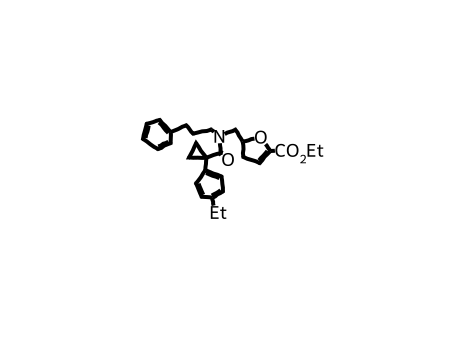 CCOC(=O)C1=CCC(CN(CCCc2ccccc2)C(=O)C2(c3ccc(CC)cc3)CC2)O1